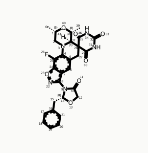 C[C@H]1CN2c3c(cc4c(N5C(=O)CO[C@@H]5Cc5ccccc5)noc4c3F)CC3(C(=O)NC(=O)NC3=O)[C@@H]2[C@@H](C)O1